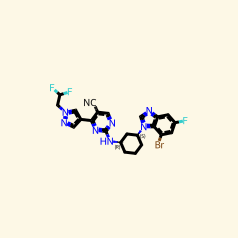 N#Cc1cnc(N[C@@H]2CCC[C@H](n3cnc4cc(F)cc(Br)c43)C2)nc1-c1cnn(CC(F)F)c1